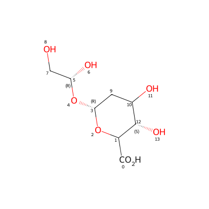 O=C(O)C1O[C@H](O[C@@H](O)CO)CC(O)[C@@H]1O